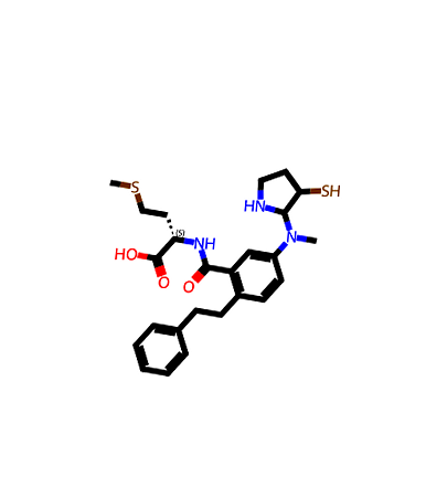 CSCC[C@H](NC(=O)c1cc(N(C)C2NCCC2S)ccc1CCc1ccccc1)C(=O)O